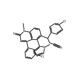 Cn1cncc1-c1c(C(CC#N)c2ccc(Cl)cc2)ccc2c1c(-c1cccc(Cl)c1)cc(=O)n2C